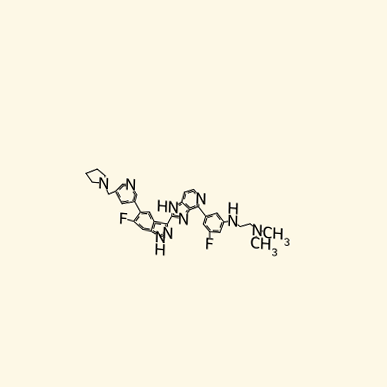 CN(C)CCNc1cc(F)cc(-c2nccc3[nH]c(-c4n[nH]c5cc(F)c(-c6cncc(CN7CCCC7)c6)cc45)nc23)c1